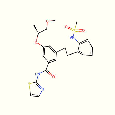 COC[C@H](C)Oc1cc(CCc2ccccc2NS(C)(=O)=O)cc(C(=O)Nc2nccs2)c1